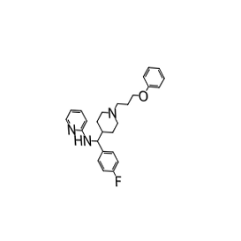 Fc1ccc(C(Nc2ccccn2)C2CCN(CCCOc3ccccc3)CC2)cc1